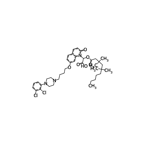 CCCCCC(C)(C)CC(C)(C)CC(=O)OC(C(=O)O)n1c(=O)ccc2ccc(OCCCCN3CCN(c4cccc(Cl)c4Cl)CC3)cc21